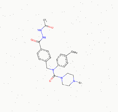 CCN1CCN(C(=O)N(Cc2ccc(C(=O)NNC(=O)C(F)(F)F)cc2)c2ccc(OC)cc2)CC1